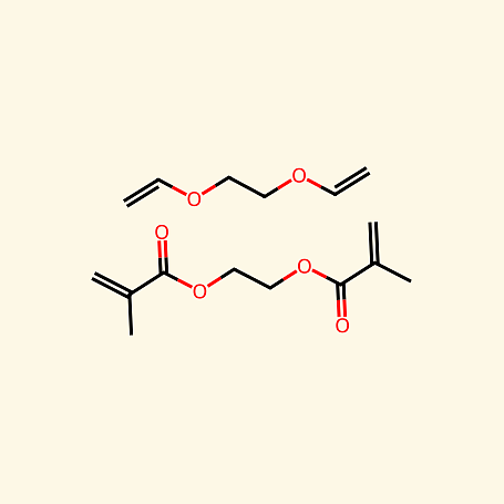 C=C(C)C(=O)OCCOC(=O)C(=C)C.C=COCCOC=C